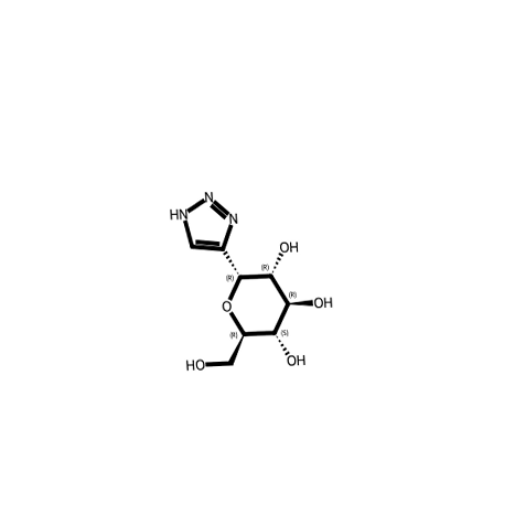 OC[C@H]1O[C@H](c2c[nH]nn2)[C@H](O)[C@@H](O)[C@@H]1O